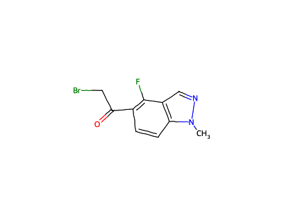 Cn1ncc2c(F)c(C(=O)CBr)ccc21